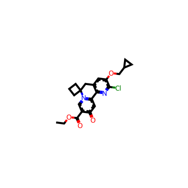 CCOC(=O)c1cn2c(cc1=O)-c1nc(Cl)c(OCC3CC3)cc1CC21CCC1